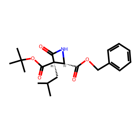 CC(C)C[C@]1(C(=O)OC(C)(C)C)C(=O)N[C@@H]1C(=O)OCc1ccccc1